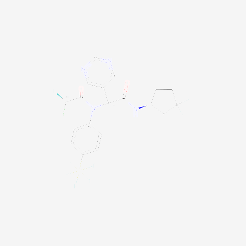 C[C@@](C(=O)N[C@H]1CCC(F)(F)C1)(c1cncnc1)N(C(=O)[C@H](F)Cl)c1ccc(S(F)(F)(F)(F)F)cc1